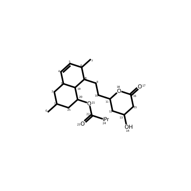 CC1CC2C=CC(C)C(CCC3CC(O)CC(=O)O3)C2C(OC(=O)C(C)C)C1